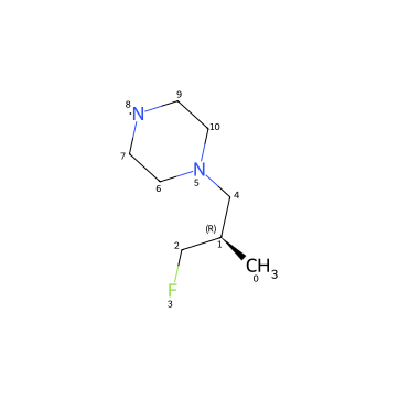 C[C@@H](CF)CN1CC[N]CC1